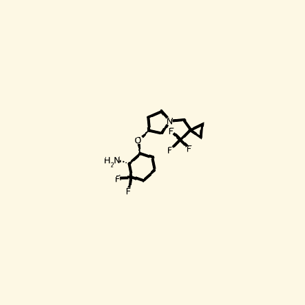 N[C@@H]1[C@@H](O[C@H]2CCN(CC3(C(F)(F)F)CC3)C2)CCCC1(F)F